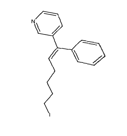 ICCCC/C=C(\c1ccccc1)c1cccnc1